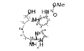 COC(=O)Nc1ccc2c(c1)NC(CO)CCCCC(N)c1nc-2c[nH]1